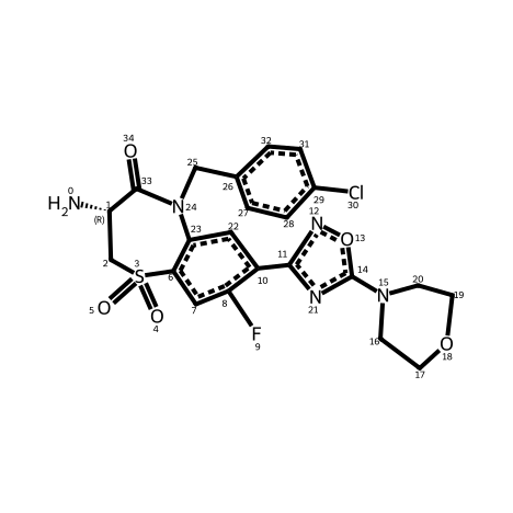 N[C@H]1CS(=O)(=O)c2cc(F)c(-c3noc(N4CCOCC4)n3)cc2N(Cc2ccc(Cl)cc2)C1=O